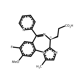 COc1cc2c(cc1F)C(c1ccccn1)=N[C@@H](CCC(=O)O)c1ncc(C)n1-2